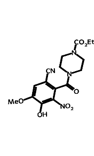 CCOC(=O)N1CCN(C(=O)c2c(C#N)cc(OC)c(O)c2[N+](=O)[O-])CC1